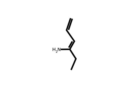 C=C/C=C(\N)CC